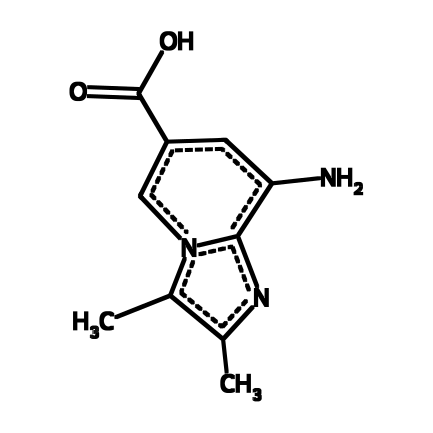 Cc1nc2c(N)cc(C(=O)O)cn2c1C